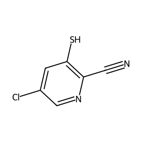 N#Cc1ncc(Cl)cc1S